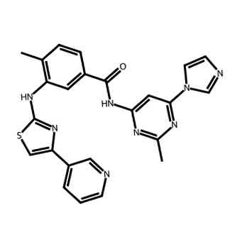 Cc1nc(NC(=O)c2ccc(C)c(Nc3nc(-c4cccnc4)cs3)c2)cc(-n2ccnc2)n1